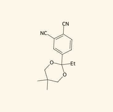 CCC1(c2ccc(C#N)c(C#N)c2)OCC(C)(C)CO1